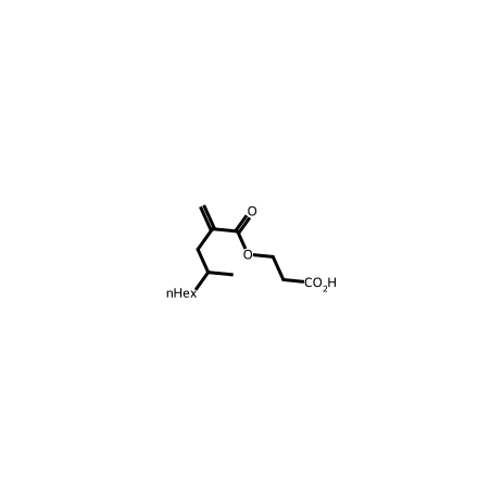 C=C(CC(C)CCCCCC)C(=O)OCCC(=O)O